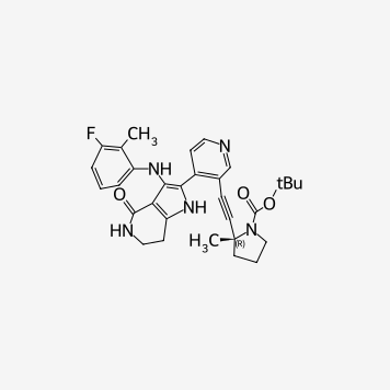 Cc1c(F)cccc1Nc1c(-c2ccncc2C#C[C@@]2(C)CCCN2C(=O)OC(C)(C)C)[nH]c2c1C(=O)NCC2